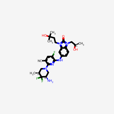 C[C@@H](O)Cn1c(=O)n(CCC(C)(C)O)c2cc(Nc3nc(N4C[C@@H](N)C(F)(F)[C@@H](C)C4)c(C#N)cc3F)ccc21